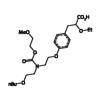 CCCCOCCN(CCOc1ccc(CC(OCC)C(=O)O)cc1)C(=O)OCCOC